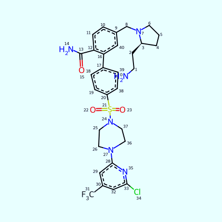 NCC[C@@H]1CCCN1Cc1ccc(C(N)=O)c(-c2ccc(S(=O)(=O)N3CCN(c4cc(C(F)(F)F)cc(Cl)n4)CC3)cc2)c1